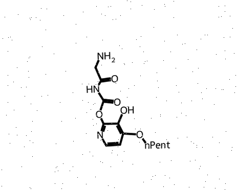 CCCCCOc1ccnc(OC(=O)NC(=O)CN)c1O